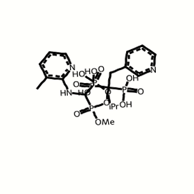 COP(=O)(OC(Cc1cccnc1)(P(=O)(O)O)P(=O)(O)O)C(Nc1ncccc1C)P(=O)(O)OC(C)C